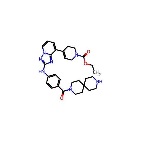 CCOC(=O)N1CC=C(c2cccn3nc(Nc4ccc(C(=O)N5CCC6(CCNCC6)CC5)cc4)nc23)CC1